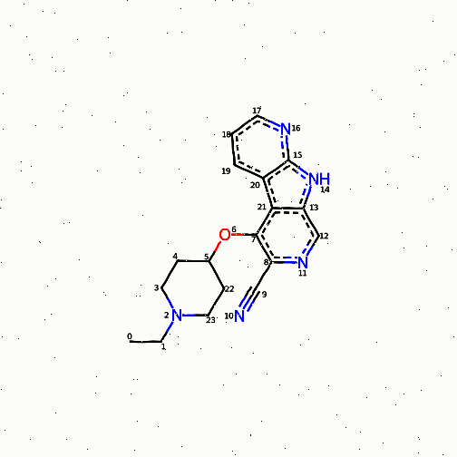 CCN1CCC(Oc2c(C#N)ncc3[nH]c4ncccc4c23)CC1